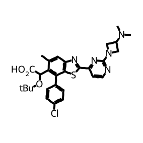 Cc1cc2nc(-c3ccnc(N4CC(N(C)C)C4)n3)sc2c(-c2ccc(Cl)cc2)c1C(OC(C)(C)C)C(=O)O